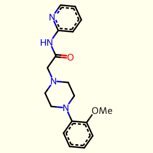 COc1ccccc1N1CCN(CC(=O)Nc2ccccn2)CC1